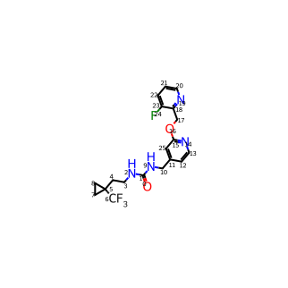 O=C(NCCC1(C(F)(F)F)CC1)NCc1ccnc(OCc2ncccc2F)c1